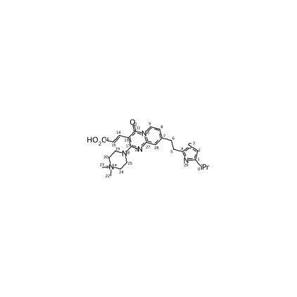 CC(C)c1csc(CCc2ccn3c(=O)c(C=CC(=O)O)c(N4CC[N+](C)(C)CC4)nc3c2)n1